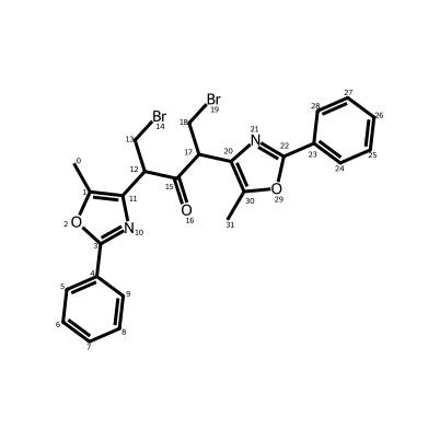 Cc1oc(-c2ccccc2)nc1C(CBr)C(=O)C(CBr)c1nc(-c2ccccc2)oc1C